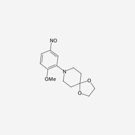 COc1ccc(N=O)cc1N1CCC2(CC1)OCCO2